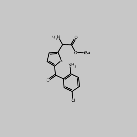 CC(C)(C)OC(=O)C(N)c1ccc(C(=O)c2cc(Cl)ccc2N)s1